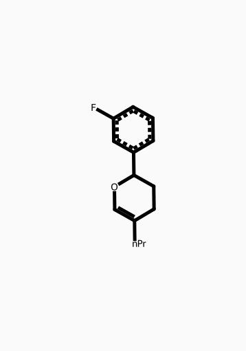 CCCC1=COC(c2cccc(F)c2)CC1